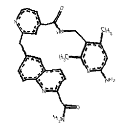 Cc1cc(N)nc(C)c1CNC(=O)c1ccnc(Cc2ccc3nc(C(N)=O)ccc3c2)c1